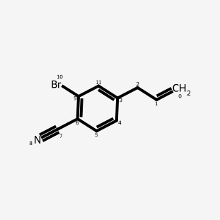 C=CCc1ccc(C#N)c(Br)c1